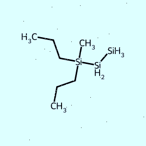 CCC[Si](C)(CCC)[SiH2][SiH3]